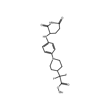 CC(C)(C)OC(=O)C(F)(F)C1CCN(c2ccc(NC3CCC(=O)NC3=O)cc2)CC1